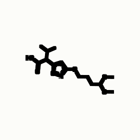 COC(CCCOc1cc(C(C(=O)O)C(C)C)on1)OC